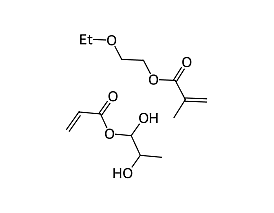 C=C(C)C(=O)OCCOCC.C=CC(=O)OC(O)C(C)O